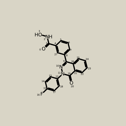 O=C(NO)c1cccc(-c2nn(-c3ccc(F)cc3)c(=O)c3ccccc23)c1